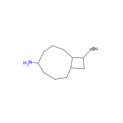 CCCCC1CC2CCCC(N)CCCC12